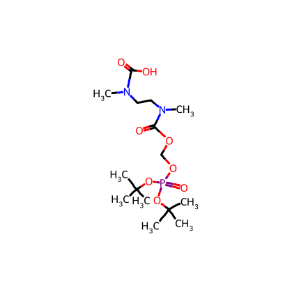 CN(CCN(C)C(=O)OCOP(=O)(OC(C)(C)C)OC(C)(C)C)C(=O)O